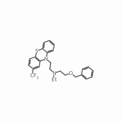 CCN(CCOCc1ccccc1)CCN1c2ccccc2Sc2ccc(C(F)(F)F)cc21